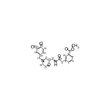 COC(=O)c1cccc(CC(=O)NCC2CN(Cc3ccc(Cl)c(Cl)c3)CCO2)c1